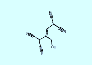 N#CC(C#N)C=C(CO)C(C#N)C#N